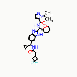 CC(C)n1nccc1C(=O)NC(c1nc2ccc(C(NC(=O)CC3CC(F)(F)C3)C3CC3)cc2[nH]1)[C@@H]1CCCCO1